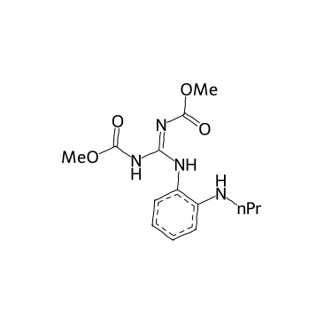 CCCNc1ccccc1NC(=NC(=O)OC)NC(=O)OC